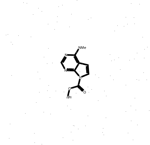 CCCOC(=O)n1ccc2c(NC)ncnc21